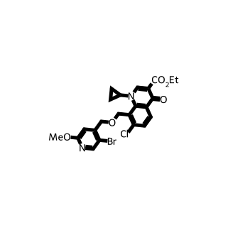 CCOC(=O)c1cn(C2CC2)c2c(COCc3cc(OC)ncc3Br)c(Cl)ccc2c1=O